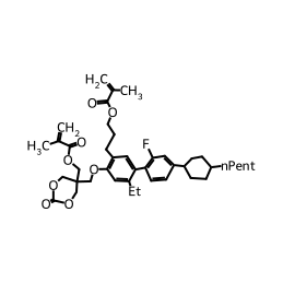 C=C(C)C(=O)OCCCc1cc(-c2ccc(C3CCC(CCCCC)CC3)cc2F)c(CC)cc1OCC1(COC(=O)C(=C)C)COC(=O)OC1